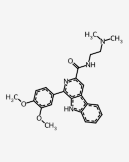 COc1ccc(-c2nc(C(=O)NCCN(C)C)cc3c2[nH]c2ccccc23)cc1OC